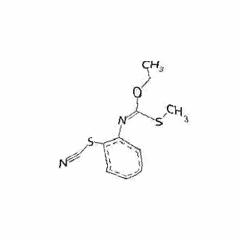 CCOC(=Nc1ccccc1SC#N)SC